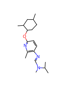 Cc1nc(OC2CCC(C)CC2C)ccc1/N=C/N(C)C(C)C